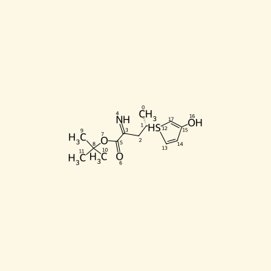 C[C@@H](CC(=N)C(=O)OC(C)(C)C)[SH]1C=CC(O)=C1